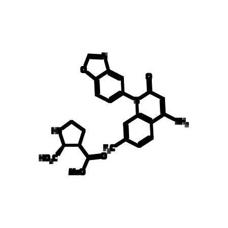 COC(=O)C1CCN[C@@H]1C(=O)O.Nc1cc(=O)n(-c2ccc3ocnc3c2)c2cc(C(F)(F)F)ccc12